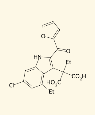 CCc1cc(Cl)cc2[nH]c(C(=O)c3ccco3)c(C(CC)(C(=O)O)C(=O)O)c12